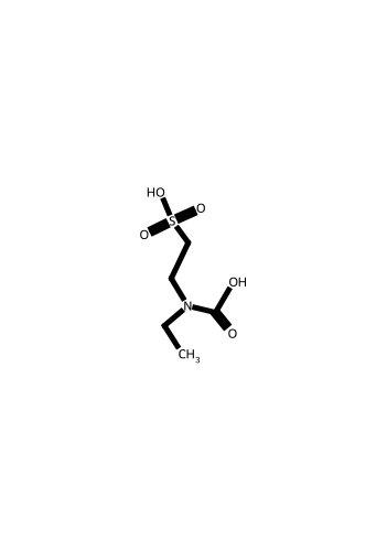 CCN(CCS(=O)(=O)O)C(=O)O